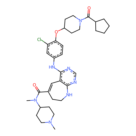 CN1CCC(N(C)C(=O)C2=Cc3c(ncnc3Nc3ccc(OC4CCN(C(=O)C5CCCC5)CC4)c(Cl)c3)NCC2)CC1